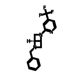 FC(F)(F)c1ccnc(N2C[C@H]3C2CN3Cc2ccccc2)c1